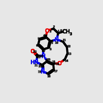 CC1COc2ccc3cc2N1CCCCOc1ccnc2[nH]c(=O)n-3c12